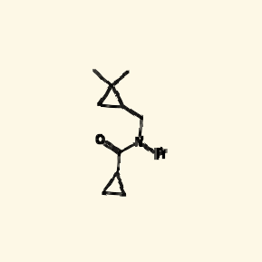 CC(C)N(CC1CC1(C)C)C(=O)C1CC1